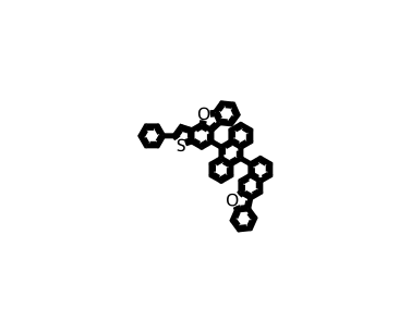 c1ccc(-c2cc3c(cc(-c4c5ccccc5c(-c5cccc6cc7c(cc56)oc5ccccc57)c5ccccc45)c4c5ccccc5oc34)s2)cc1